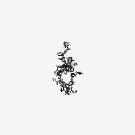 CCn1c(-c2cccnc2COC)c2c3cc(ccc31)-c1cc(O)cc(c1)C[C@H](NC(=O)[C@@H](C(C)C)N(C)C(=O)[C@H]1CCN(C(=O)C#CCN3CCOCC3)C1)C(=O)N1CCC[C@H](N1)C(=O)OCC(C)(C)C2